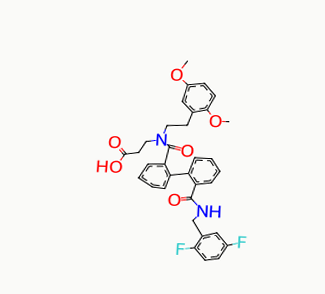 COc1ccc(OC)c(CCN(CCC(=O)O)C(=O)c2ccccc2-c2ccccc2C(=O)NCc2cc(F)ccc2F)c1